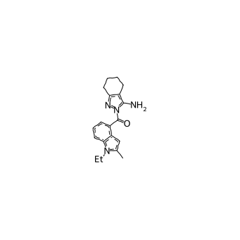 CCn1c(C)cc2c(C(=O)n3nc4c(c3N)CCCC4)cccc21